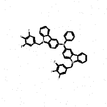 Fc1cc(Cn2c3ccccc3c3cc(N(c4ccccc4)c4ccc5c(c4)c4ccccc4n5Cc4cc(F)c(F)c(F)c4)ccc32)cc(F)c1F